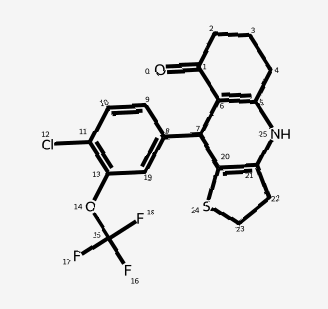 O=C1CCCC2=C1C(c1ccc(Cl)c(OC(F)(F)F)c1)C1=C(CCS1)N2